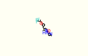 Cc1ccc(NC(=O)N2CC/C(=C\c3cccc(OCC(C)CC(F)(F)F)c3)C(C)C2)cn1